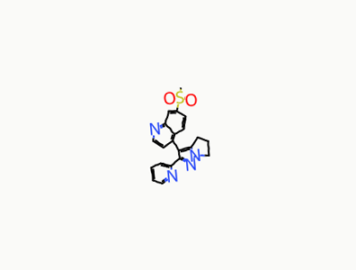 CS(=O)(=O)c1ccc2c(-c3c(-c4ccccn4)nn4c3CCC4)ccnc2c1